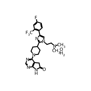 CN(C)CCn1cc(-c2ccc(F)cc2C(F)(F)F)nc1C1CCN(c2ncnc3c2CC(=O)N3)CC1.O